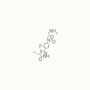 CCCC1SC(c2ccc(N3CC(CN)OC3=O)cc2F)=NNC1=O